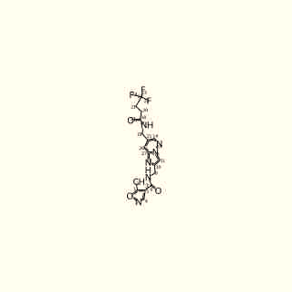 Cc1oncc1C(=O)NCc1cn2ncc(CNC(=O)CCC(F)(F)F)cc2n1